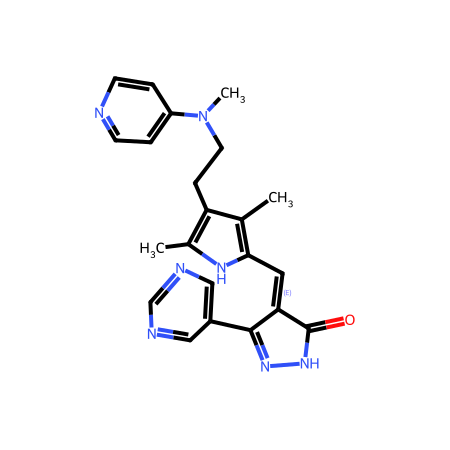 Cc1[nH]c(/C=C2/C(=O)NN=C2c2cncnc2)c(C)c1CCN(C)c1ccncc1